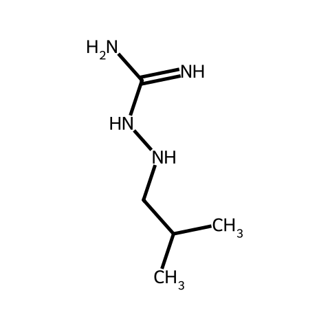 CC(C)CNNC(=N)N